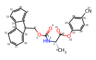 C[C@H](NC(=O)OCC1c2ccccc2-c2ccccc21)C(=O)Oc1ccc(C#N)cc1